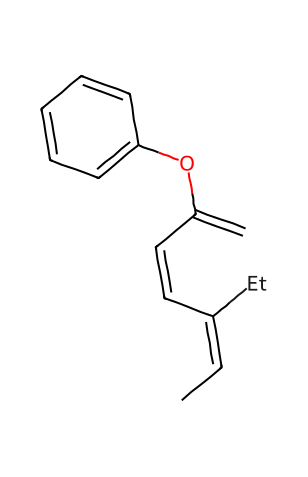 C=C(/C=C\C(=C/C)CC)Oc1ccccc1